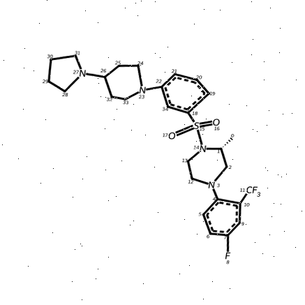 C[C@@H]1CN(c2ccc(F)cc2C(F)(F)F)CCN1S(=O)(=O)c1cccc(N2CCC(N3CCCC3)CC2)c1